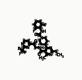 CSc1nc(C)c(C(=O)NCC(=O)c2ccnc(C(F)(F)F)n2)c(C2CCN(C(=O)Nc3c(F)cccc3F)CC2)n1